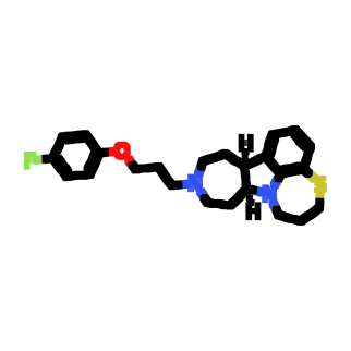 Fc1ccc(OCCCN2CC[C@H]3c4cccc5c4N(CCCS5)[C@H]3CC2)cc1